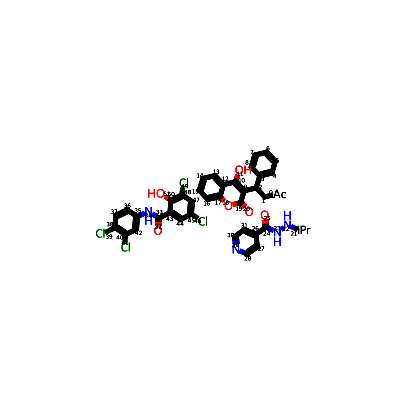 CC(=O)CC(c1ccccc1)c1c(O)c2ccccc2oc1=O.CC(C)NNC(=O)c1ccncc1.O=C(Nc1ccc(Cl)c(Cl)c1)c1cc(Cl)cc(Cl)c1O